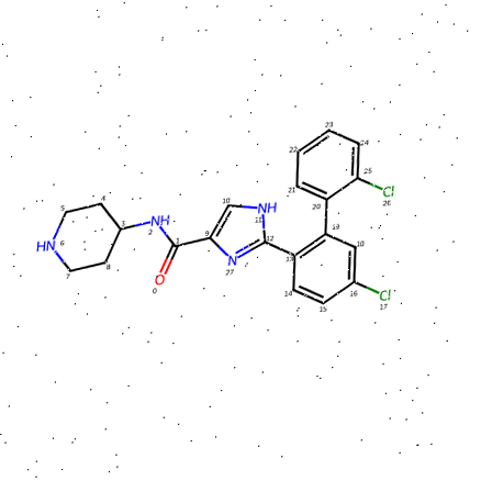 O=C(NC1CCNCC1)c1c[nH]c(-c2ccc(Cl)cc2-c2ccccc2Cl)n1